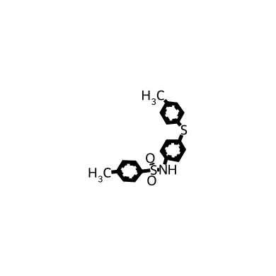 Cc1ccc(Sc2ccc(NS(=O)(=O)c3ccc(C)cc3)cc2)cc1